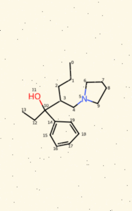 CCCC(CN1CCCC1)C(O)(CC)c1ccccc1